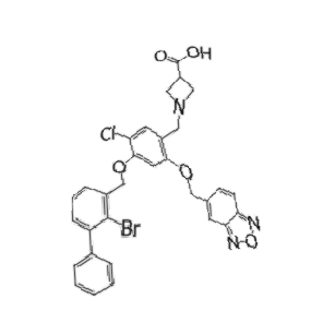 O=C(O)C1CN(Cc2cc(Cl)c(OCc3cccc(-c4ccccc4)c3Br)cc2OCc2ccc3nonc3c2)C1